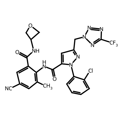 Cc1cc(C#N)cc(C(=O)NC2COC2)c1NC(=O)c1cc(Cn2nnc(C(F)(F)F)n2)nn1-c1ccccc1Cl